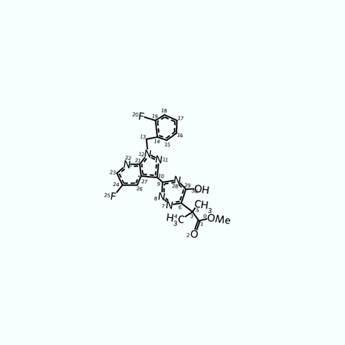 COC(=O)C(C)(C)c1nnc(-c2nn(Cc3ccccc3F)c3ncc(F)cc23)nc1O